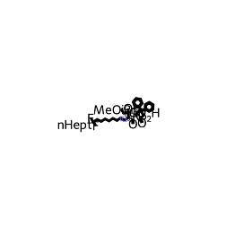 CCCCCCCC(F)(F)CCCCCC/C=C/[C@H](C(=O)N1C(=O)SC(c2ccccc2)(c2ccccc2)[C@@H]1C(C)C)[C@@](O)(CCOC)C(=O)O